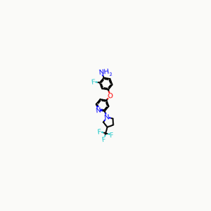 Nc1ccc(Oc2ccnc(N3CCC(C(F)(F)F)C3)c2)cc1F